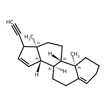 C#CC1C=C[C@H]2[C@@H]3CCC4=CCCC[C@]4(C)[C@H]3CC[C@]12C